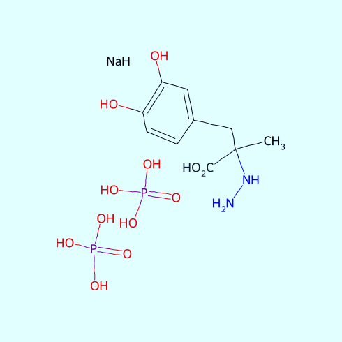 CC(Cc1ccc(O)c(O)c1)(NN)C(=O)O.O=P(O)(O)O.O=P(O)(O)O.[NaH]